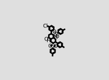 Cc1ccc(C2C[C@@H]3C(S(=O)(=O)c4ccc(C)cc4)C(c4cccc(Cl)c4)CC(=O)[C@@H]3CC2S(=O)(=O)c2ccc(C)cc2)cc1